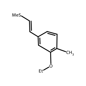 CCOc1cc(/C=C/SC)ccc1C